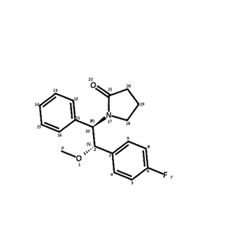 CO[C@@H](c1ccc(F)cc1)[C@@H](c1ccccc1)N1CCCC1=O